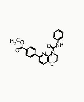 COC(=O)c1ccc(-c2ccc3c(n2)N(C(=O)Nc2ccccc2)CCO3)cc1